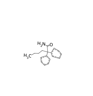 CCCCC(C(N)=O)(c1ccccc1)c1ccccc1